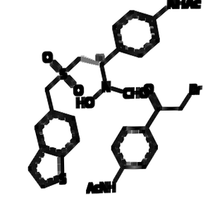 CC(=O)Nc1ccc(C(=O)CBr)cc1.CC(=O)Nc1ccc([C@@H](CS(=O)(=O)Cc2ccc3sccc3c2)N(O)C=O)cc1